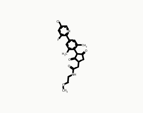 COCCNC(=O)CC1CC(=O)C(c2c(C)cc(-c3ncc(Cl)cc3F)cc2C)C1=O